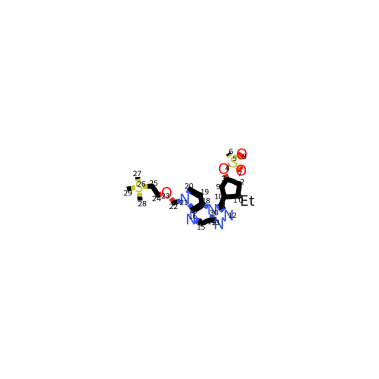 CCC1CC(OS(C)(=O)=O)CC1c1nnc2cnc3c(ccn3COCCS(C)(C)C)n12